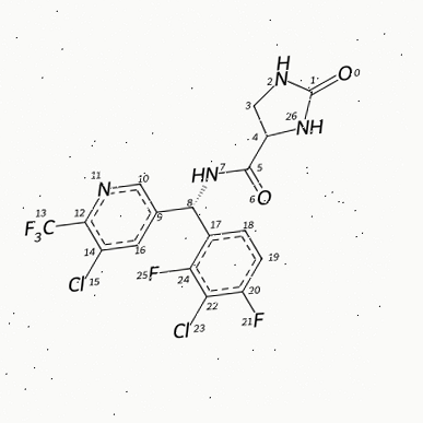 O=C1NCC(C(=O)N[C@@H](c2cnc(C(F)(F)F)c(Cl)c2)c2ccc(F)c(Cl)c2F)N1